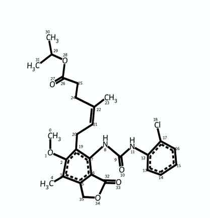 COc1c(C)c2c(c(NC(=O)Nc3ccccc3Cl)c1CC=C(C)CCC(=O)OC(C)C)C(=O)OC2